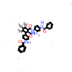 [3H]c1c([3H])c(C(=O)Nc2ccc(NC(=O)c3ccccc3)cc2)c(C(N)=O)c(-c2ccc(NC(=O)c3ccccc3)cc2)c1[3H]